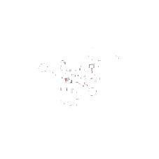 CCCCN(CC(=O)N(C)[C@@H](CC(C)C)C(=O)N[C@@H](COCCN(C)C)C(=O)N(C)[C@@H](Cc1ccccc1)C(=O)N(C)C(C(=O)N[C@@H](CC(N)=O)C(=O)N1CCCCC1)C(C)C)C(=O)C(NC(=O)[C@H](CC(C)C)N(C)C(=O)[C@H](CC(C)C)NC(=O)[C@H](Cc1ccccc1)N(C)[C@H](C)CC(C)C)[C@@H](C)O